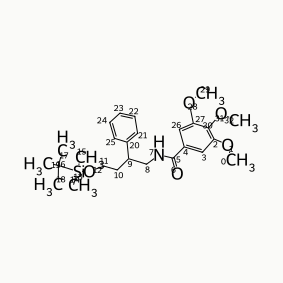 COc1cc(C(=O)NCC(CCO[Si](C)(C)C(C)(C)C)c2ccccc2)cc(OC)c1OC